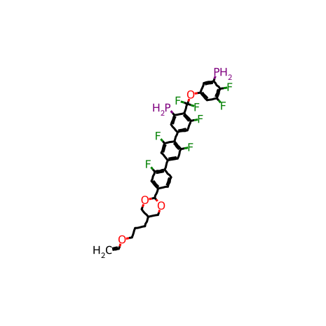 C=COCCCC1COC(c2ccc(-c3cc(F)c(-c4cc(F)c(C(F)(F)Oc5cc(F)c(F)c(P)c5)c(P)c4)c(F)c3)c(F)c2)OC1